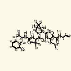 C=CCNC(=O)C(=O)C(CCC)NC(=O)[C@@H]1[C@@H]2[C@H](CN1C(=O)[C@@H](NC(=O)N[C@H](Cn1ccccc1=O)C(C)C)C(C)(C)C)C2(C)C